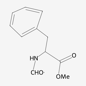 COC(=O)C(Cc1ccccc1)N[C]=O